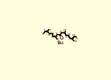 CC=C(C)C=CC=C(C)CC(=O)CC(C)=CC=CC(C)=CC.[Ru]